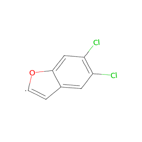 Clc1cc2c[c]oc2cc1Cl